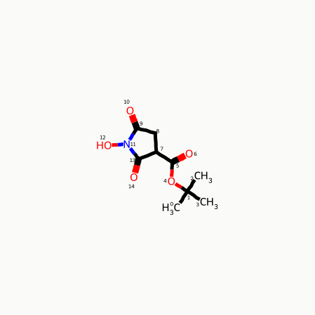 CC(C)(C)OC(=O)C1CC(=O)N(O)C1=O